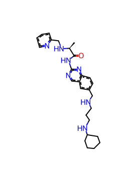 C[C@H](NCc1ccccn1)C(=O)Nc1ncc2cc(CNCCCNC3CCCCC3)ccc2n1